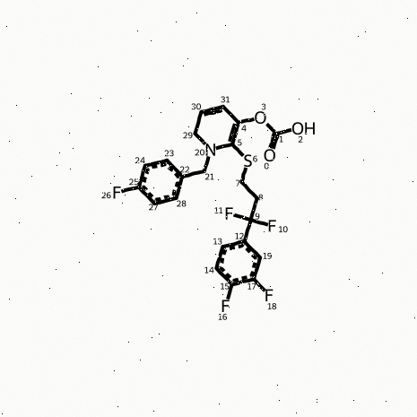 O=C(O)OC1=C(SCCC(F)(F)c2ccc(F)c(F)c2)N(Cc2ccc(F)cc2)CC=C1